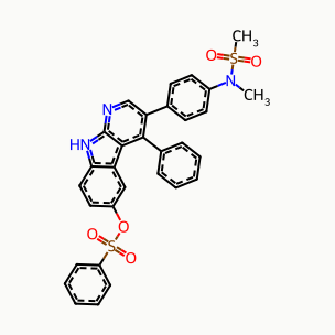 CN(c1ccc(-c2cnc3[nH]c4ccc(OS(=O)(=O)c5ccccc5)cc4c3c2-c2ccccc2)cc1)S(C)(=O)=O